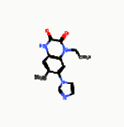 COc1cc2[nH]c(=O)c(=O)n(CC(=O)O)c2cc1-n1ccnc1